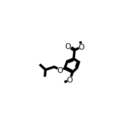 COC(=O)c1ccc(OC)c(OCC(C)C)c1